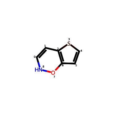 C1=Cc2sccc2ON1